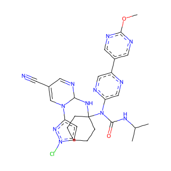 COc1ncc(-c2cnc(N(C(=O)NC(C)C)C3(NC4N=CC(C#N)=CN4c4ccn(Cl)n4)CCCCC3)cn2)cn1